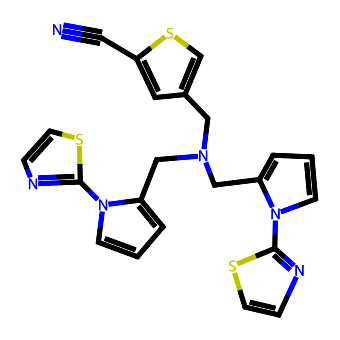 N#Cc1cc(CN(Cc2cccn2-c2nccs2)Cc2cccn2-c2nccs2)cs1